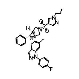 CCCn1cc(S(=O)(=O)N2C[C@@H]3[C@@H](c4ccccc4)[C@]3(c3cc4cnn(-c5ccc(F)cc5)c4cc3C)C2)cn1